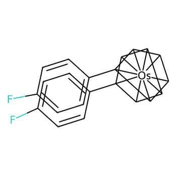 Fc1ccc([C]23[CH]4[CH]5[CH]6[CH]2[Os]56432789[CH]3[CH]2[CH]7[C]8(c2ccc(F)cc2)[CH]39)cc1